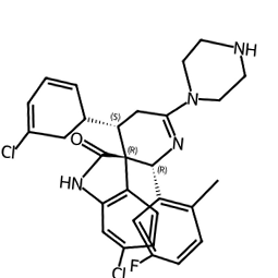 Cc1ccc(F)cc1[C@H]1N=C(N2CCNCC2)C[C@@H](C2C=CC=C(Cl)C2)[C@]12C(=O)Nc1cc(Cl)ccc12